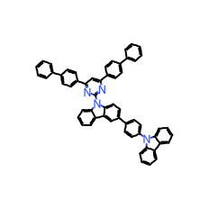 c1ccc(-c2ccc(-c3cc(-c4ccc(-c5ccccc5)cc4)nc(-n4c5ccccc5c5cc(-c6ccc(-n7c8ccccc8c8ccccc87)cc6)ccc54)n3)cc2)cc1